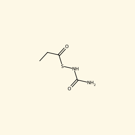 CCC(=O)SNC(N)=O